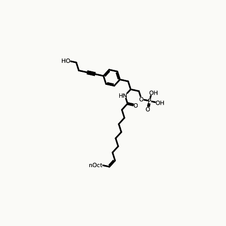 CCCCCCCC/C=C\CCCCCCCC(=O)NC(COP(=O)(O)O)Cc1ccc(C#CCCO)cc1